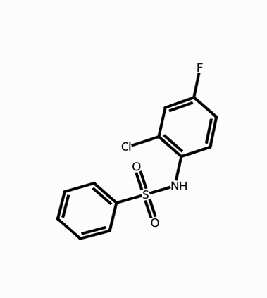 O=S(=O)(Nc1ccc(F)cc1Cl)c1ccccc1